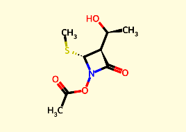 CS[C@@H]1[C@@H]([C@H](C)O)C(=O)N1OC(C)=O